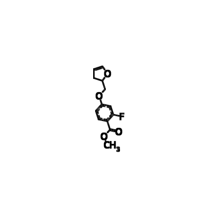 COC(=O)c1ccc(OCC2CC=CO2)cc1F